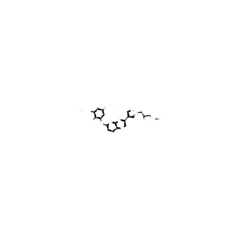 COc1cc(Nc2ccc3ncc(-c4cnn(CC(O)COC(C)C)c4)nc3n2)c(F)c(OC)c1